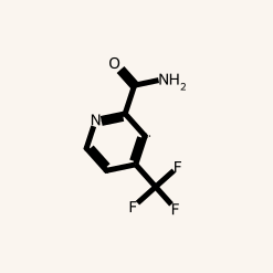 NC(=O)c1[c]c(C(F)(F)F)ccn1